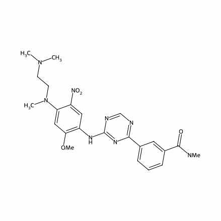 CNC(=O)c1cccc(-c2ncnc(Nc3cc([N+](=O)[O-])c(N(C)CCN(C)C)cc3OC)n2)c1